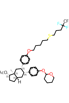 CC(=O)O[C@H]1CC[C@H]2C[C@@H](c3ccc(OC4CCCCO4)cc3)[C@@H](c3ccc(OCCCCCSCCCC(F)(F)C(F)(F)F)cc3)C[C@@]21C